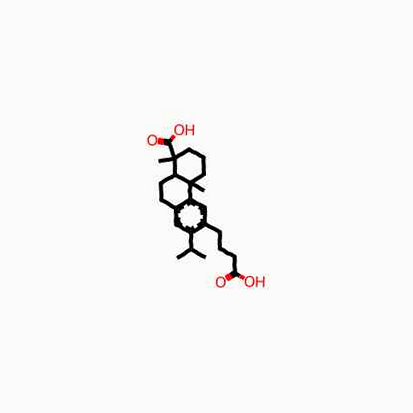 CC(C)c1cc2c(cc1CCCC(=O)O)C1(C)CCCC(C)(C(=O)O)C1CC2